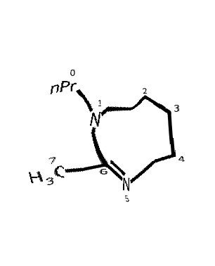 CCCN1CCCN=C1C